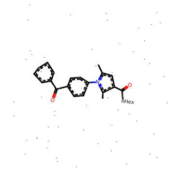 CCCCCCC(=O)c1cc(C)n(-c2ccc(C(=O)c3ccccc3)cc2)c1C